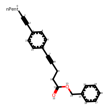 CCCCCC#Cc1ccc(C#CCCC(=O)OCc2ccccc2)cc1